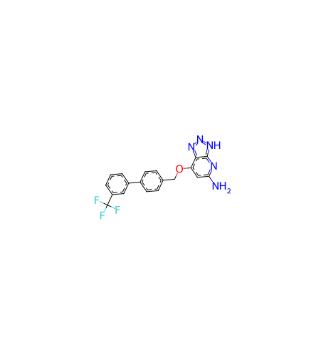 Nc1cc(OCc2ccc(-c3cccc(C(F)(F)F)c3)cc2)c2nn[nH]c2n1